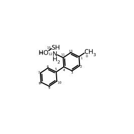 Cc1ccc(-c2cc[c]cc2)c(N)c1.OS